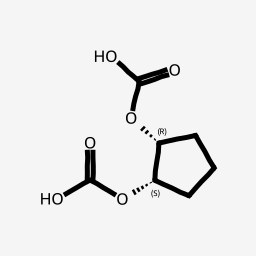 O=C(O)O[C@H]1CCC[C@H]1OC(=O)O